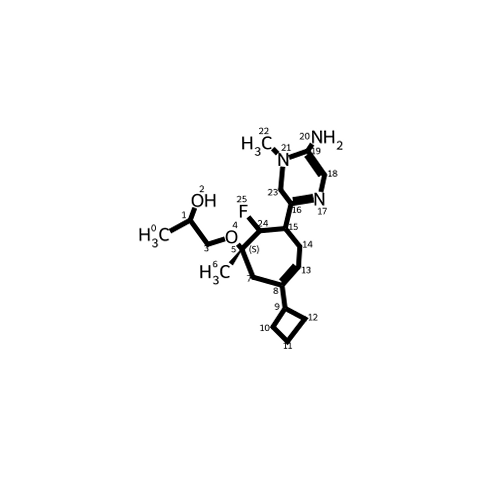 CC(O)CO[C@@]1(C)CC(C2CCC2)=CCC(C2=NC=C(N)N(C)C2)C1F